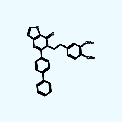 COc1ccc(CCn2c(-c3ccc(-c4ccccc4)cc3)nc3ccsc3c2=O)cc1OC